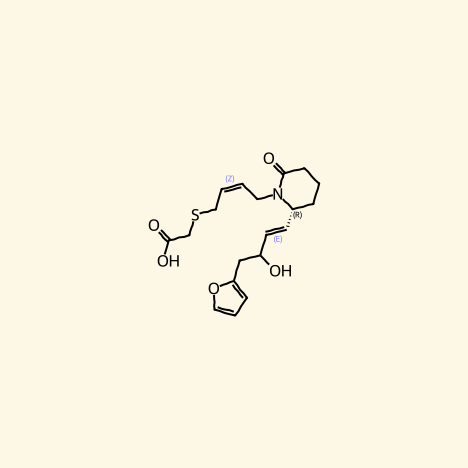 O=C(O)CSC/C=C\CN1C(=O)CCC[C@@H]1/C=C/C(O)Cc1ccco1